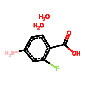 Bc1ccc(C(=O)O)c(F)c1.O.O